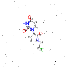 O=C1[C@H](n2ccc(=O)[nH]c2=O)CCN1CCCl